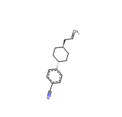 C=CC[C@H]1CC[C@H](c2ccc(C#N)cc2)CC1